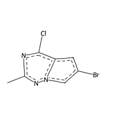 Cc1nc(Cl)c2cc(Br)cn2n1